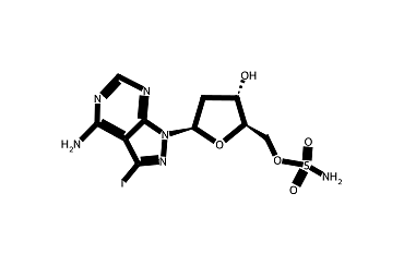 Nc1ncnc2c1c(I)nn2[C@H]1C[C@H](O)[C@@H](COS(N)(=O)=O)O1